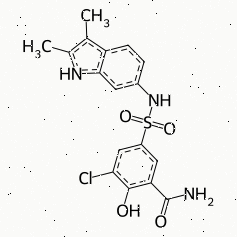 Cc1[nH]c2cc(NS(=O)(=O)c3cc(Cl)c(O)c(C(N)=O)c3)ccc2c1C